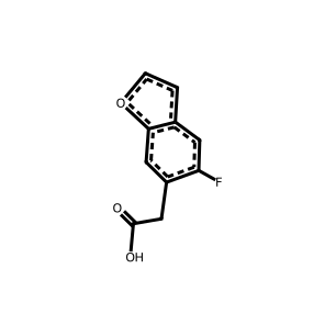 O=C(O)Cc1cc2occc2cc1F